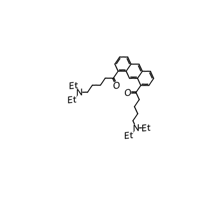 CCN(CC)CCCCC(=O)c1cccc2cc3cccc(C(=O)CCCCN(CC)CC)c3cc12